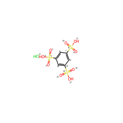 Cl.O=S(=O)(O)c1cc(S(=O)(=O)O)cc(S(=O)(=O)O)c1